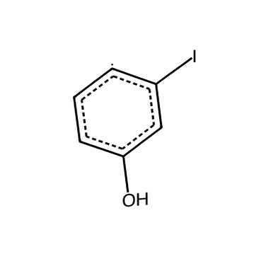 Oc1cc[c]c(I)c1